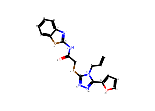 C=CCn1c(SCC(=O)Nc2nc3ccccc3s2)nnc1-c1ccco1